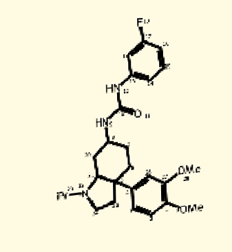 COc1ccc(C23CCC(NC(=O)Nc4cccc(F)c4)CC2N(C(C)C)CC3)cc1OC